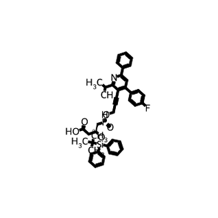 CC(C)c1nc(-c2ccccc2)cc(-c2ccc(F)cc2)c1C#CCO[PH](=O)C[C@H](CC(=O)O)O[Si](c1ccccc1)(c1ccccc1)C(C)(C)C